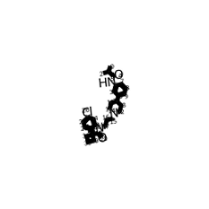 CC(C)C(=O)Nc1cccc(C2CCN(CCCNC(=O)C3(c4ccc(Cl)cc4)CCC3)CC2)c1